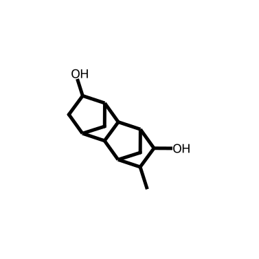 CC1C(O)C2CC1C1C3CC(O)C(C3)C21